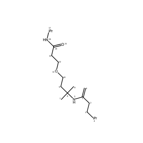 C=C(CCC(C)C)NC(C)(C)CCOCCC(=O)NC(C)C